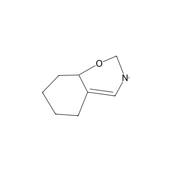 C1=C2CCCCC2OC[N]1